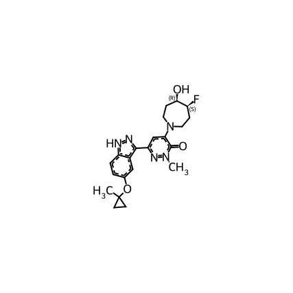 Cn1nc(-c2n[nH]c3ccc(OC4(C)CC4)cc23)cc(N2CC[C@@H](O)[C@@H](F)CC2)c1=O